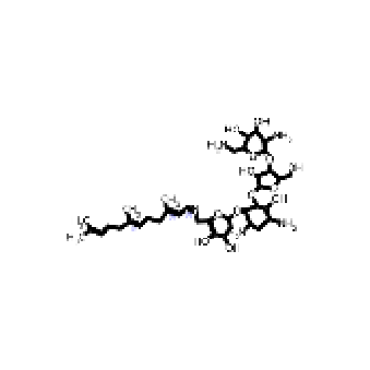 CC(C)=CCC/C(C)=C/CC/C(C)=C/C=N\CC1OC(OC2C(N)CC(N)C(O)C2OC2OC(CO)C(OC3OC(CN)C(O)C(O)C3N)C2O)CC(O)C1O